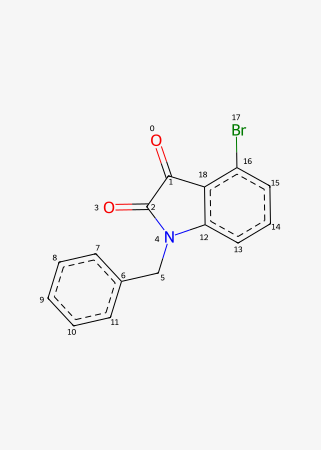 O=C1C(=O)N(Cc2ccccc2)c2cccc(Br)c21